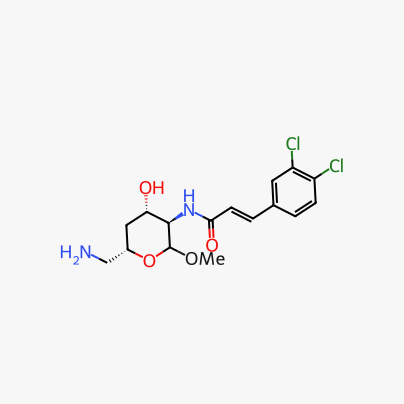 COC1O[C@H](CN)C[C@H](O)[C@H]1NC(=O)/C=C/c1ccc(Cl)c(Cl)c1